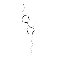 CCCCCOc1ccc(-c2ccc(CCCC)cn2)c(F)c1